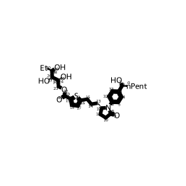 CCCCC[C@H](O)c1ccc(N2C(=O)CC[C@@H]2CCCc2ccc(C(=O)OC[C@@H](O)[C@H](O)[C@H](O)CC)s2)cc1